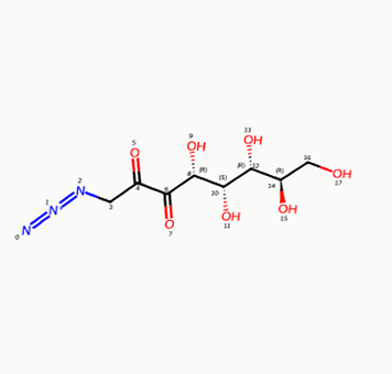 [N-]=[N+]=NCC(=O)C(=O)[C@H](O)[C@@H](O)[C@H](O)[C@H](O)CO